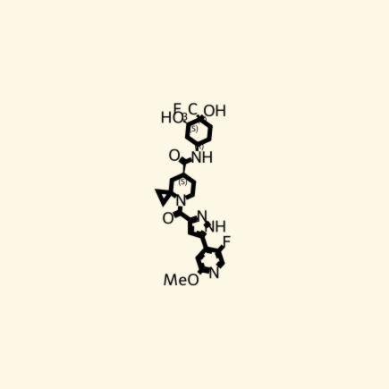 COc1cc(-c2cc(C(=O)N3CC[C@H](C(=O)N[C@@H]4CC[C@](O)(C(F)(F)F)[C@@H](O)C4)CC34CC4)n[nH]2)c(F)cn1